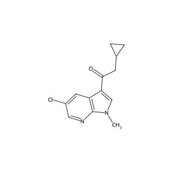 Cn1cc(C(=O)CC2CC2)c2cc(Cl)cnc21